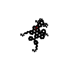 CCCCc1ccc(N(c2ccccc2)c2cc3c4c(c2)N(c2ccc(CCCC)cc2-c2ccccc2)c2cc5sc6cc7c(cc6c5cc2B4N2c4c-3cccc4C3(C)CCCCC23C)C(C)(C)CCC7(C)C)cc1